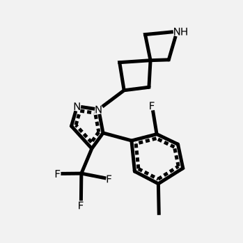 Cc1ccc(F)c(-c2c(C(F)(F)F)cnn2C2CC3(CNC3)C2)c1